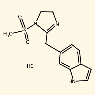 CS(=O)(=O)N1CCN=C1Cc1ccc2cc[nH]c2c1.Cl